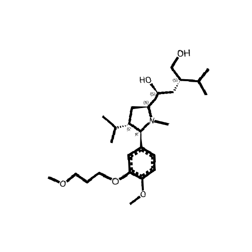 COCCCOc1cc([C@H]2[C@H](C(C)C)C[C@@H]([C@@H](O)C[C@H](CO)C(C)C)N2C)ccc1OC